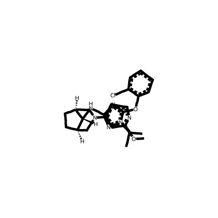 COc1cc(N2C[C@H]3CC[C@@H](C2)[C@@H]3Nc2nc(Oc3ccccc3Cl)n(C(C)C)n2)ccn1